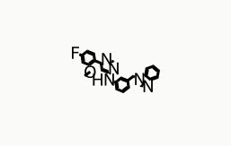 COc1cc(F)ccc1-c1cc(Nc2cccc(Cn3cnc4ccccc43)c2)ncn1